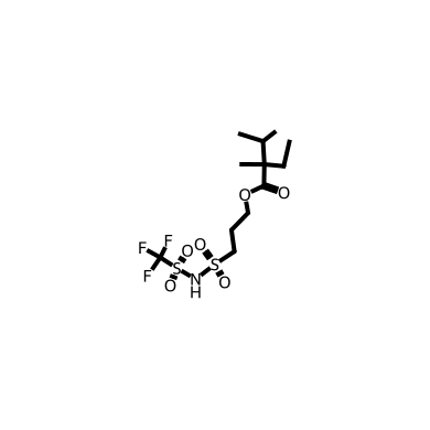 CCC(C)(C(=O)OCCCS(=O)(=O)NS(=O)(=O)C(F)(F)F)C(C)C